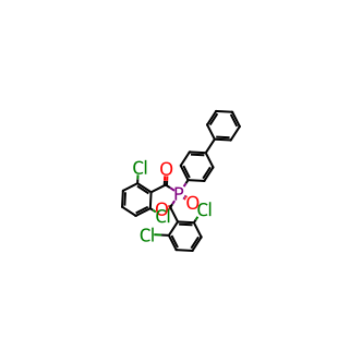 O=C(c1c(Cl)cccc1Cl)P(=O)(C(=O)c1c(Cl)cccc1Cl)c1ccc(-c2ccccc2)cc1